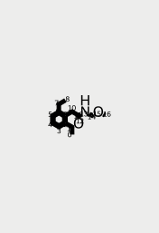 CCc1cccc(CC)c1CC(=O)NCOC